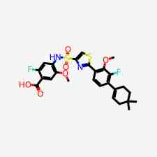 COc1cc(C(=O)O)c(F)cc1NS(=O)(=O)c1csc(-c2ccc(C3=CCC(C)(C)CC3)c(F)c2OC)n1